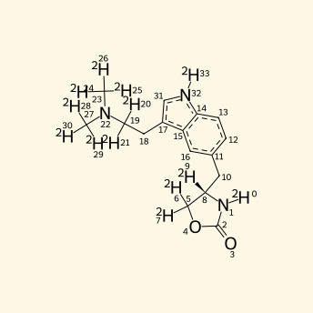 [2H]N1C(=O)OC([2H])([2H])[C@]1([2H])Cc1ccc2c(c1)c(CC([2H])([2H])N(C([2H])([2H])[2H])C([2H])([2H])[2H])cn2[2H]